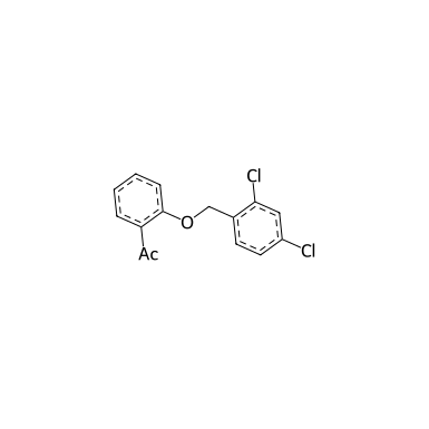 CC(=O)c1ccccc1OCc1ccc(Cl)cc1Cl